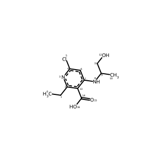 CCc1nc(Cl)cc(NC(C)CO)c1C(=O)O